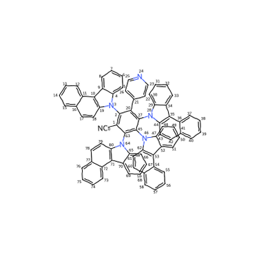 N#Cc1c(-n2c3ccccc3c3c4ccccc4ccc32)c(-c2ccncc2)c(-n2c3ccccc3c3c4ccccc4ccc32)c(-n2c3ccccc3c3c4ccccc4ccc32)c1-n1c2ccccc2c2c3ccccc3ccc21